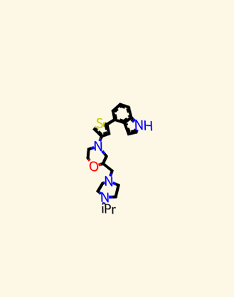 CC(C)N1CCN(CC2CN(c3csc(-c4cccc5[nH]ccc45)c3)CCO2)CC1